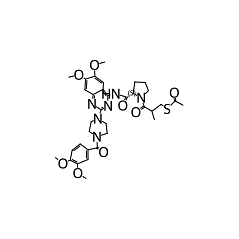 COc1ccc(C(=O)N2CCN(c3nc(NC(=O)[C@@H]4CCCN4C(=O)C(C)CSC(C)=O)c4cc(OC)c(OC)cc4n3)CC2)cc1OC